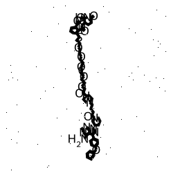 Nc1ncnc2c1c(-c1ccc(Oc3ccccc3)cc1)nn2[C@@H]1CCCN(C(=O)CCCN2CCN(C(=O)COCCOCCOCCOCCOCCSc3cccc4c3C(=O)N(C3CCC(=O)NC3=O)C4=O)CC2)C1